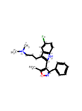 Cc1onc(-c2ccccc2)c1-c1[nH]c2ccc(F)cc2c1CCCN(C)C